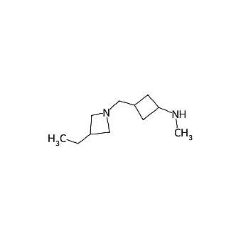 CCC1CN(CC2CC(NC)C2)C1